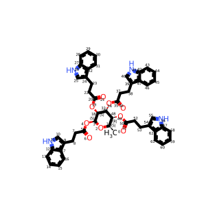 C[C@@H]1O[C@@H](OC(=O)CCc2c[nH]c3ccccc23)[C@@H](OC(=O)CCc2c[nH]c3ccccc23)[C@H](OC(=O)CCc2c[nH]c3ccccc23)[C@@H]1OC(=O)CCc1c[nH]c2ccccc12